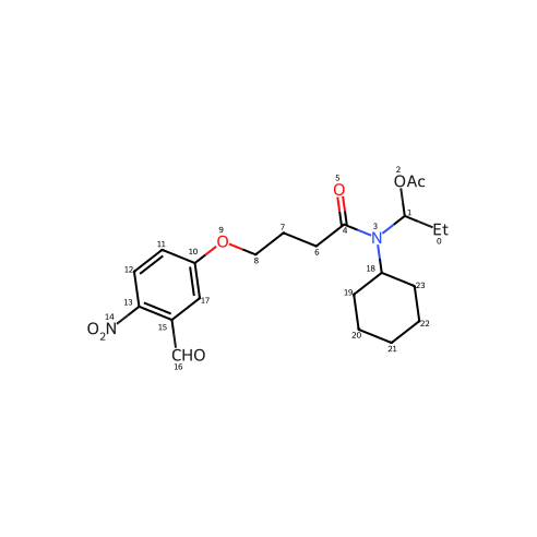 CCC(OC(C)=O)N(C(=O)CCCOc1ccc([N+](=O)[O-])c(C=O)c1)C1CCCCC1